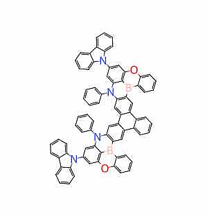 c1ccc(N2c3cc4c(cc3B3c5ccccc5Oc5cc(-n6c7ccccc7c7ccccc76)cc2c53)c2ccccc2c2cc3c(cc24)N(c2ccccc2)c2cc(-n4c5ccccc5c5ccccc54)cc4c2B3c2ccccc2O4)cc1